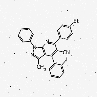 CCc1ccc(-c2nc3c(c(C)nn3-c3ccccc3)c(-c3ccccc3I)c2C#N)cc1